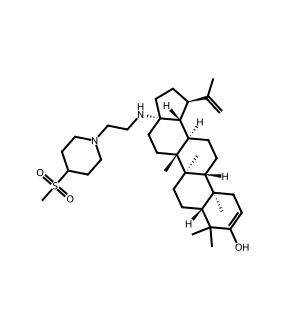 C=C(C)[C@@H]1CC[C@]2(NCCN3CCC(S(C)(=O)=O)CC3)CC[C@]3(C)[C@H](CC[C@@H]4[C@@]5(C)CC=C(O)C(C)(C)[C@@H]5CC[C@]43C)[C@@H]12